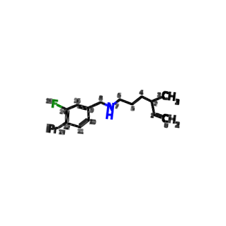 C=CC(C)CCCNCc1ccc(C(C)C)c(F)c1